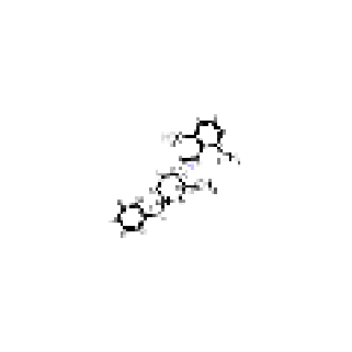 Cc1cccc(C)c1/C=C/[C@H]1CCN(Cc2ccccc2)C[C@@H]1C